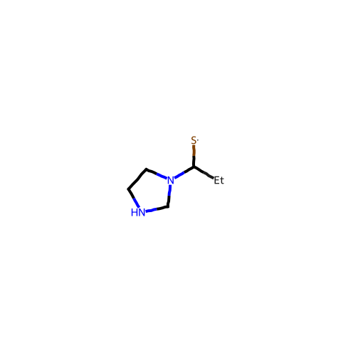 CCC([S])N1CCNC1